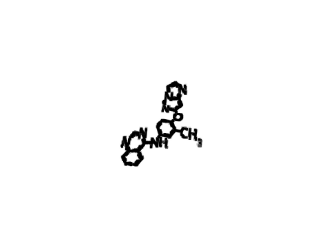 Cc1cc(Nc2ncnc3ccccc23)ccc1Oc1cc2nccn2cn1